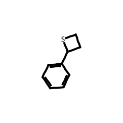 c1ccc(C2CCS2)cc1